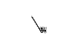 CC(=O)Oc1cccc(CCCCCCCCCCCCCCI)c1C(=O)O